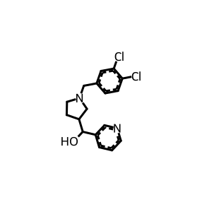 OC(c1cccnc1)C1CCN(Cc2ccc(Cl)c(Cl)c2)C1